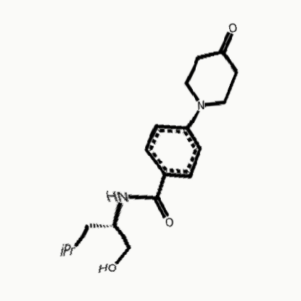 CC(C)C[C@@H](CO)NC(=O)c1ccc(N2CCC(=O)CC2)cc1